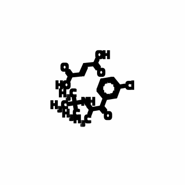 CC(NC(C)(C)C)C(=O)c1cccc(Cl)c1.O=C(O)C=CC(=O)O